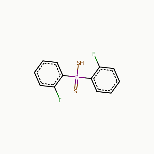 Fc1ccccc1P(=S)(S)c1ccccc1F